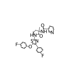 CC(CI)(NC(=O)c1cccnc1)C(=O)Nc1nc(-c2ccc(F)cc2)c(Oc2ccc(F)cc2)s1